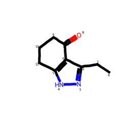 CCc1n[nH]c2c1C(=O)CCC2